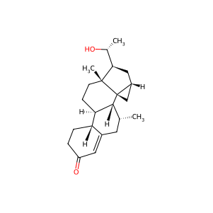 C[C@@H]1CC2=CC(=O)CC[C@@H]2[C@H]2CC[C@]3(C)[C@@H]([C@@H](C)O)C[C@@H]4C[C@]43[C@@H]21